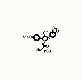 CCCCN(CCCC)C(=O)CN1C[C@H](c2ccc3c(c2)OCO3)C(C(=O)O)C1c1ccc(OC)cc1